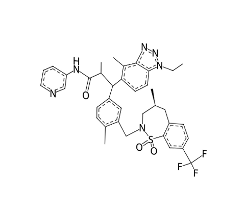 CCn1nnc2c(C)c(C(c3ccc(C)c(CN4C[C@@H](C)Cc5ccc(C(F)(F)F)cc5S4(=O)=O)c3)C(C)C(=O)Nc3cccnc3)ccc21